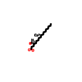 CCCCCCCCCCCCCCC(CCC(=O)[O-])[SiH2][O-].[Ca+2]